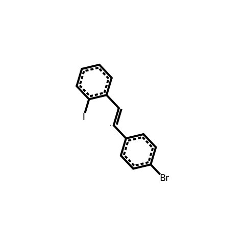 Brc1ccc([C]=Cc2ccccc2I)cc1